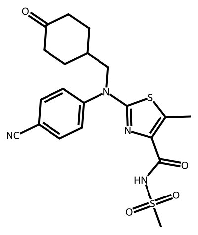 Cc1sc(N(CC2CCC(=O)CC2)c2ccc(C#N)cc2)nc1C(=O)NS(C)(=O)=O